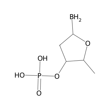 BC1CC(OP(=O)(O)O)C(C)O1